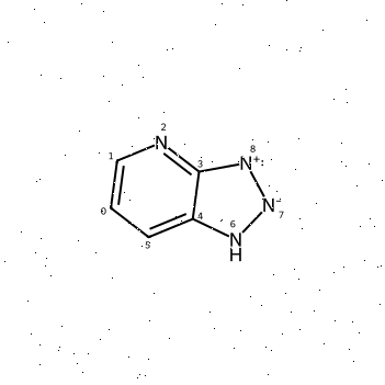 c1cnc2c(c1)N[N-][N+]2